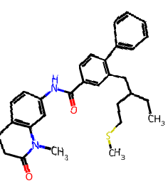 CCC(CCSC)Cc1cc(C(=O)Nc2ccc3c(c2)N(C)C(=O)CC3)ccc1-c1ccccc1